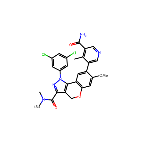 COc1cc2c(cc1-c1cncc(C(N)=O)c1C)-c1c(c(C(=O)N(C)C(C)(C)C)nn1-c1cc(Cl)cc(Cl)c1)CO2